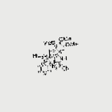 COc1cc(-c2[nH]c3c(C#N)cnn3c2N[C@@](C)(Cc2ccccc2)C(=O)O)cc(OC)c1OC